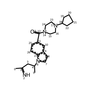 CC(=N)CC(C)n1ccc2cc(C(=O)N3CCN(C4CCCC4)CC3)ccc21